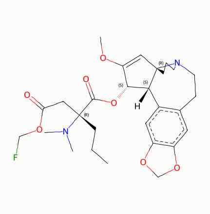 CCC[C@@](CC(=O)OCF)(C(=O)O[C@@H]1C(OC)=C[C@]23CCCN2CCc2cc4c(cc2[C@H]13)OCO4)N(C)C